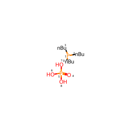 CCCCP(CCCC)CCCC.O=P(O)(O)O